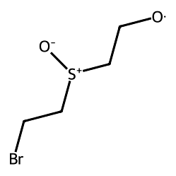 [O]CC[S+]([O-])CCBr